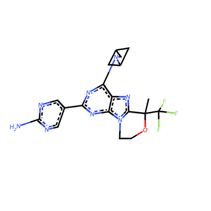 CC1(C(F)(F)F)OCCn2c1nc1c(N3CC4CC3C4)nc(-c3cnc(N)nc3)nc12